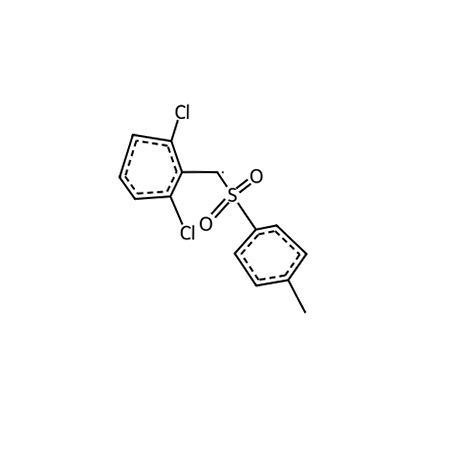 Cc1ccc(S(=O)(=O)[CH]c2c(Cl)cccc2Cl)cc1